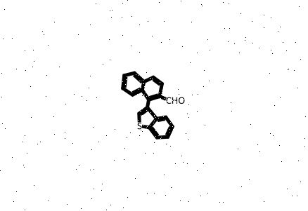 O=Cc1ccc2ccccc2c1-c1csc2ccccc12